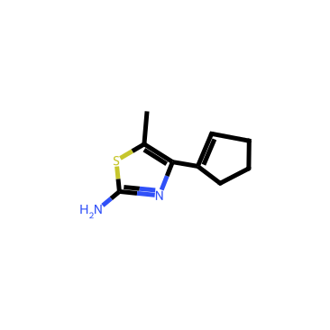 Cc1sc(N)nc1C1=CCCC1